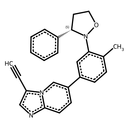 C#Cc1cnc2ccc(-c3ccc(C)c(N4OCC[C@H]4c4ccccc4)c3)cn12